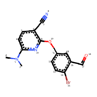 CN(C)c1ccc(C#N)c(Oc2ccc(Br)c(C=O)c2)n1